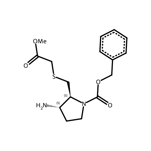 COC(=O)CSC[C@@H]1[C@@H](N)CCN1C(=O)OCc1ccccc1